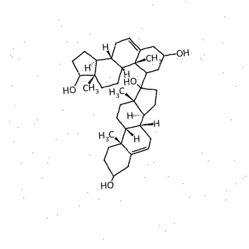 C[C@]12CCC(O)CC1=CC[C@@H]1[C@H]2CC[C@@]2(C)[C@H]1CCC2(O)C1CC(O)CC2=CC[C@@H]3[C@@H](CC[C@]4(C)C(O)CC[C@@H]34)[C@]21C